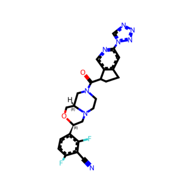 N#Cc1c(F)ccc([C@@H]2CN3CCN(C(=O)C4CCc5cc(-n6cnnn6)ncc54)C[C@@H]3CO2)c1F